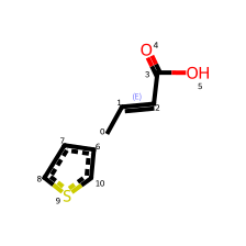 C/C=C/C(=O)O.c1ccsc1